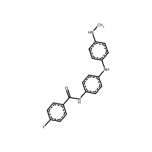 CNc1ccc(Nc2ccc(NC(=O)c3ccc(F)cc3)cc2)cc1